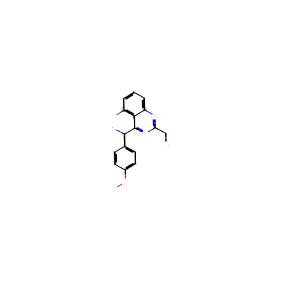 CCOc1ccc(C(N)c2nc(CN)nc3cccc(F)c23)cc1